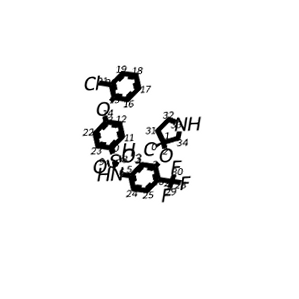 C[C@@]1(Oc2cc(NS(=O)(=O)c3ccc(Oc4ccccc4Cl)cc3)ccc2C(F)(F)F)CCNC1